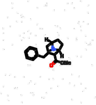 COC(=O)C1C(Cc2ccccc2)C[C@@H]2CC[C@H]1N2C